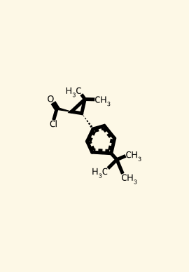 CC(C)(C)c1ccc([C@@H]2[C@@H](C(=O)Cl)C2(C)C)cc1